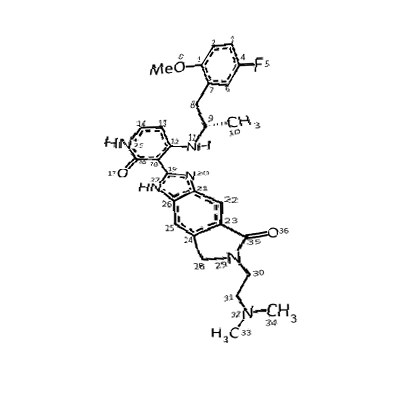 COc1ccc(F)cc1C[C@H](C)Nc1cc[nH]c(=O)c1-c1nc2cc3c(cc2[nH]1)CN(CCN(C)C)C3=O